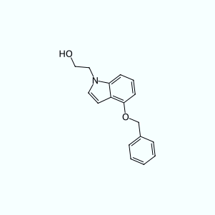 OCCn1ccc2c(OCc3ccccc3)cccc21